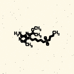 CCCCS(=O)(=O)CCCCCn1c(C(C)OC)nc2c(N)ncc(C)c21